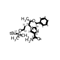 C[C@H](OCc1ccccc1)[C@@H](CCO[Si](C)(C)C(C)(C)C)n1cnc(C(N)=O)c1